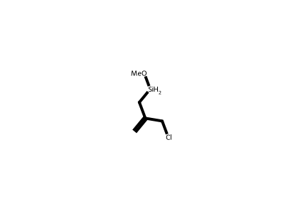 C=C(CCl)C[SiH2]OC